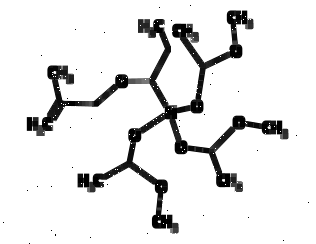 C=C(C)COC(CC)[Si](OC(C)OC)(OC(C)OC)OC(C)OC